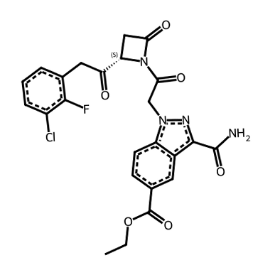 CCOC(=O)c1ccc2c(c1)c(C(N)=O)nn2CC(=O)N1C(=O)C[C@H]1C(=O)Cc1cccc(Cl)c1F